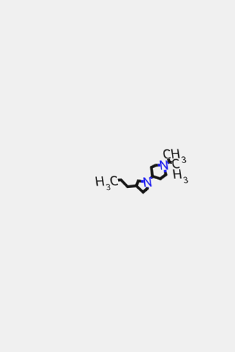 CCCC1CCN(C2CCN(C(C)C)CC2)C1